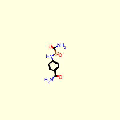 NC(=O)c1ccc(N[S+]([O-])C(N)=O)cc1